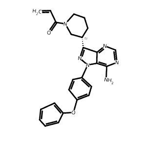 C=CC(=O)N1CCC[C@H](c2nn(-c3ccc(Oc4ccccc4)cc3)c3c(N)ncnc23)C1